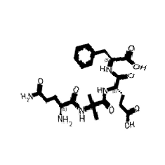 CC(C)(NC(=O)[C@@H](N)CCC(N)=O)C(=O)N[C@@H](CCC(=O)O)C(=O)N[C@@H](Cc1ccccc1)C(=O)O